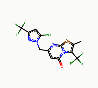 Cc1sc2nc(Cn3nc(C(F)(F)F)cc3Cl)cc(=O)n2c1C(F)(F)F